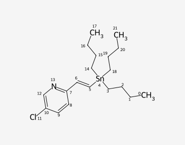 CCC[CH2][Sn](/[CH]=C/c1ccc(Cl)cn1)([CH2]CCC)[CH2]CCC